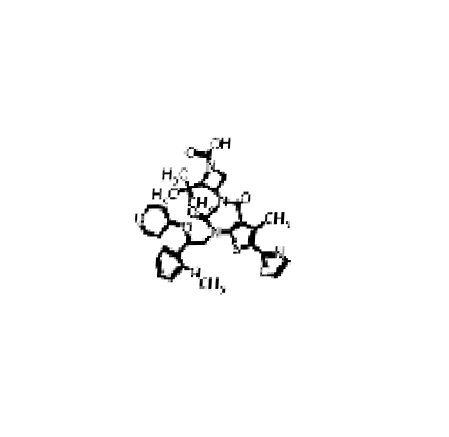 COc1ccccc1C(Cn1c(=O)n(C2CN(C(=O)O)C2C(C)(C)C)c(=O)c2c(C)c(-c3ncco3)sc21)OC1CCOCC1